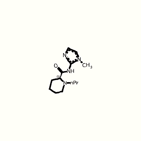 CCCN1CCCC[C@H]1C(=O)Nc1nccn1C